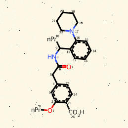 CCCOc1cc(CC(=O)NC(CCC)c2ccccc2N2CCCCC2)ccc1C(=O)O